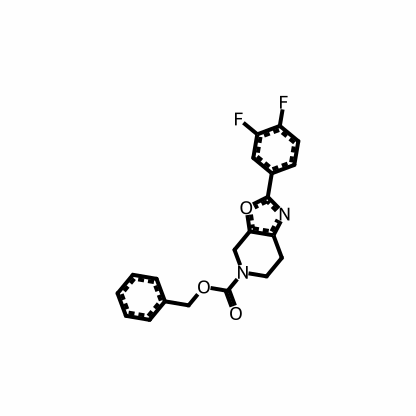 O=C(OCc1ccccc1)N1CCc2nc(-c3ccc(F)c(F)c3)oc2C1